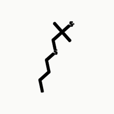 CCCCSCC(C)(C)[S]